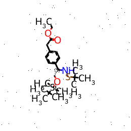 CCOC(=O)Cc1ccc([C@@H](CO[Si](C)(C)C(C)(C)C)NSC(C)(C)C)cc1